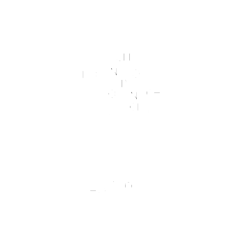 CN(C)P(=O)(Oc1ccc(CCC(=O)O)cc1)N(C)C